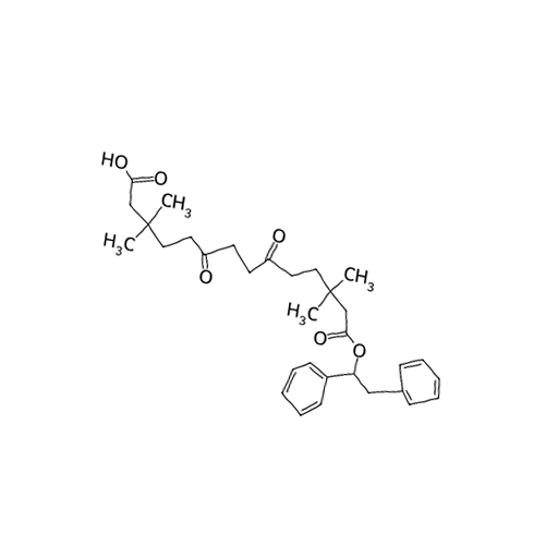 CC(C)(CCC(=O)CCC(=O)CCC(C)(C)CC(=O)OC(Cc1ccccc1)c1ccccc1)CC(=O)O